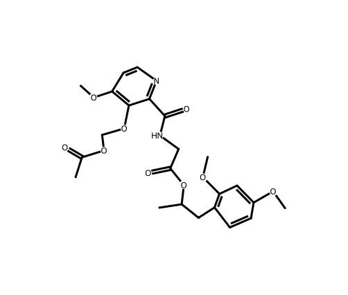 COc1ccc(CC(C)OC(=O)CNC(=O)c2nccc(OC)c2OCOC(C)=O)c(OC)c1